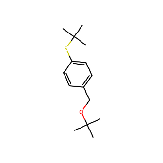 CC(C)(C)OCc1ccc(SC(C)(C)C)cc1